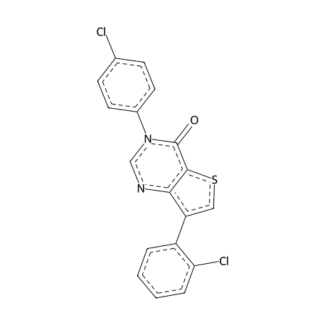 O=c1c2scc(-c3ccccc3Cl)c2ncn1-c1ccc(Cl)cc1